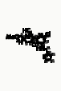 [2H][C@](N)(COC)Cc1oc2c(NCc3cccs3)cc(Cl)nc2c1C#C